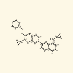 O=C(CCc1ccccc1)N(Cc1cc(-c2ccc3ncnc(NC4CC4)c3c2)ccn1)C1CC1